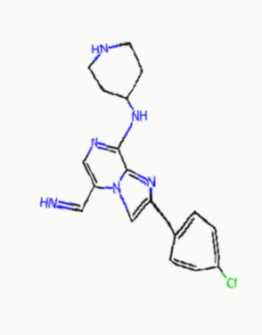 N=Cc1cnc(NC2CCNCC2)c2nc(-c3ccc(Cl)cc3)cn12